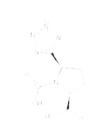 O=C(O)[C@@H]1CC[C@H](c2nn[nH]n2)N1C(=O)O